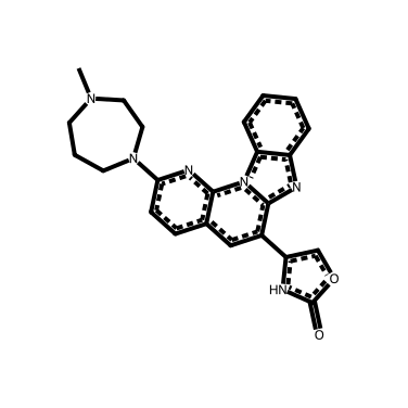 CN1CCCN(c2ccc3cc(-c4coc(=O)[nH]4)c4nc5ccccc5n4c3n2)CC1